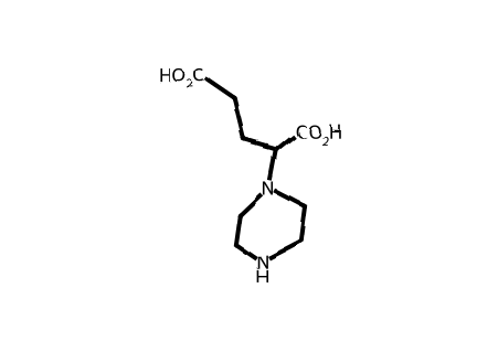 O=C(O)CCC(C(=O)O)N1CCNCC1